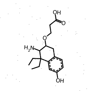 CCC1(CC)c2cc(O)ccc2CC(OCCC(=O)O)C1N